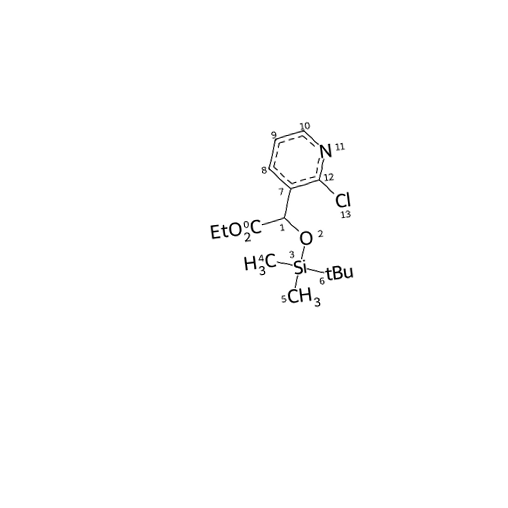 CCOC(=O)C(O[Si](C)(C)C(C)(C)C)c1cccnc1Cl